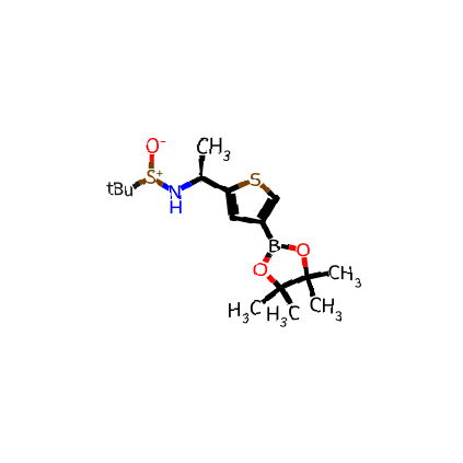 C[C@H](N[S+]([O-])C(C)(C)C)c1cc(B2OC(C)(C)C(C)(C)O2)cs1